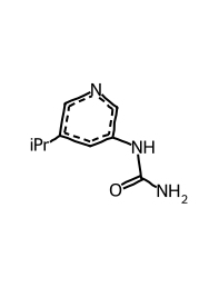 CC(C)c1cncc(NC(N)=O)c1